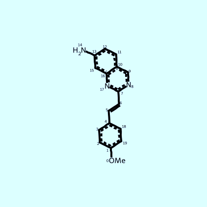 COc1ccc(C=Cc2ncc3ccc(N)cc3n2)cc1